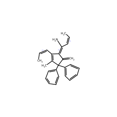 C=C1/C(=C(N)\C=C/C)C(/C=C\C)=C(C)C1(c1ccccc1)c1ccccc1